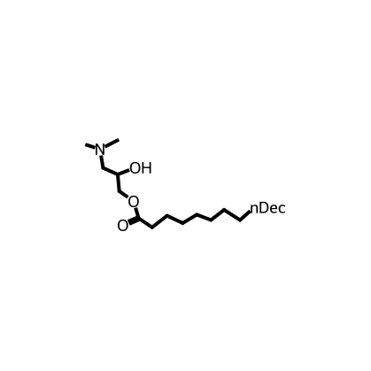 CCCCCCCCCCCCCCCCCC(=O)OCC(O)CN(C)C